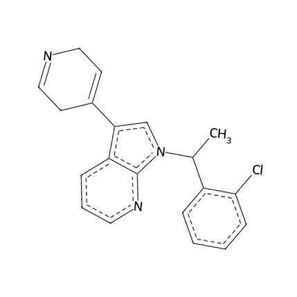 CC(c1ccccc1Cl)n1cc(C2=CCN=CC2)c2cccnc21